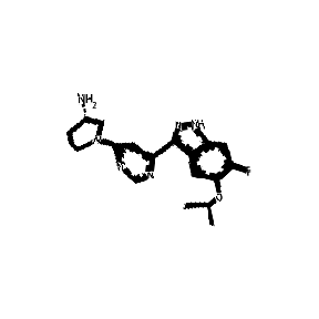 CC(C)Oc1cc2c(-c3cc(N4CC[C@H](N)C4)ncn3)n[nH]c2cc1F